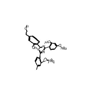 CCCCOc1ccc(-c2nc(-c3ccc(CCOCC)cc3O)nc(-c3ccc(C)cc3OCCCC)n2)c(O)c1